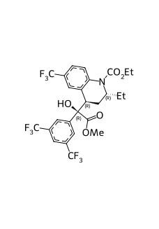 CCOC(=O)N1c2ccc(C(F)(F)F)cc2[C@H]([C@](O)(C(=O)OC)c2cc(C(F)(F)F)cc(C(F)(F)F)c2)C[C@H]1CC